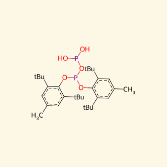 Cc1cc(C(C)(C)C)c(OP(Oc2c(C(C)(C)C)cc(C)cc2C(C)(C)C)OP(O)O)c(C(C)(C)C)c1